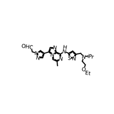 CCOCCN(Cc1cc(Nc2nc(C)cn3c(-c4cnn(CC=O)c4)cnc23)sn1)C(C)C